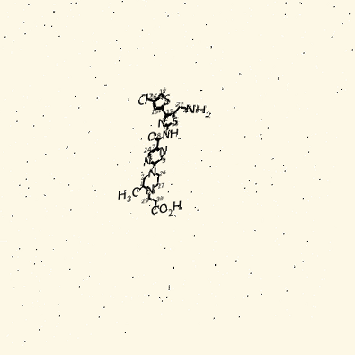 CC1CN(c2cnc(C(=O)Nc3nc(-c4cc(Cl)cs4)c(CN)s3)cn2)CCN1CCC(=O)O